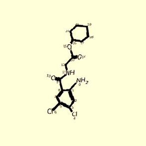 Nc1cc(Cl)c(Cl)cc1C(=O)NCC(=O)OC1CCCCC1